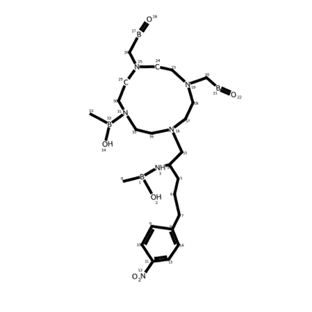 CB(O)NC(CCCc1ccc([N+](=O)[O-])cc1)CN1CCN(CB=O)CCN(CB=O)CCN(B(C)O)CC1